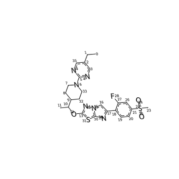 CCc1cnc(N2CCC(C(C)Oc3nn4cc(-c5ccc(S(C)(=O)=O)cc5F)nc4s3)CC2)nc1